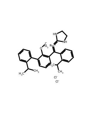 COc1c([C](=[Ru+2]=[C]2NCCN2)c2ccccc2C(C)C)cccc1-c1ccccc1C(C)C.[Cl-].[Cl-]